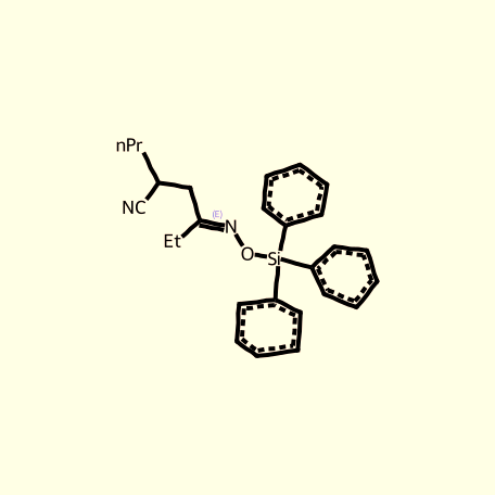 CCCC(C#N)C/C(CC)=N/O[Si](c1ccccc1)(c1ccccc1)c1ccccc1